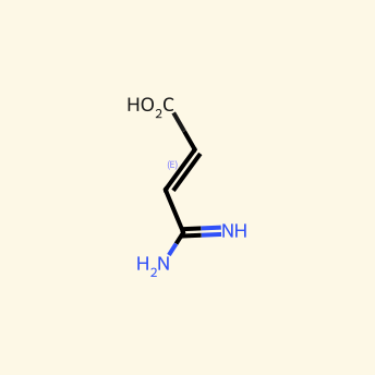 N=C(N)/C=C/C(=O)O